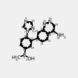 CB(O)c1ccc(-n2cncn2)c(-c2ccc3c(N)cnnc3c2)c1